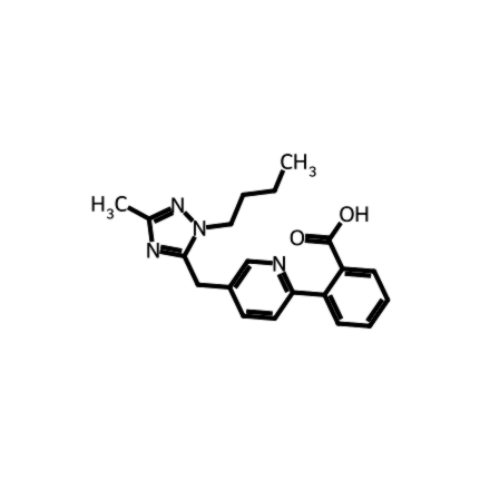 CCCCn1nc(C)nc1Cc1ccc(-c2ccccc2C(=O)O)nc1